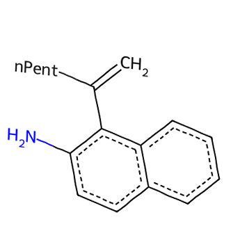 C=C(CCCCC)c1c(N)ccc2ccccc12